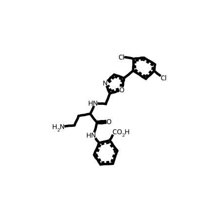 NCCC(NCc1ncc(-c2cc(Cl)ccc2Cl)o1)C(=O)Nc1ccccc1C(=O)O